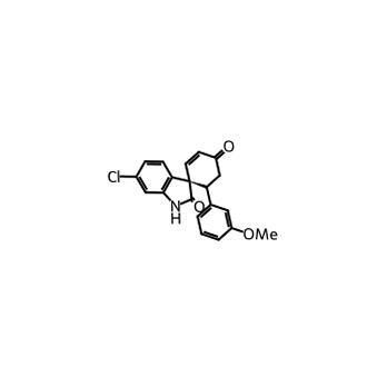 COc1cccc(C2CC(=O)C=C[C@@]23C(=O)Nc2cc(Cl)ccc23)c1